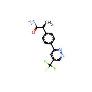 C=C(C(N)=O)c1ccc(-c2cc(C(F)(F)F)cnn2)cc1